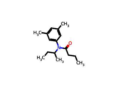 CCCC(=O)N(c1cc(C)cc(C)c1)C(C)CC